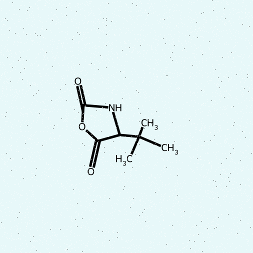 CC(C)(C)C1NC(=O)OC1=O